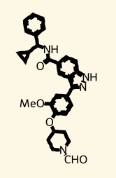 COc1cc(-c2n[nH]c3ccc(C(=O)NC(c4ccccc4)C4CC4)cc23)ccc1OC1CCN(C=O)CC1